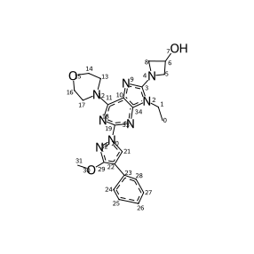 CCn1c(N2CC(O)C2)nc2c(N3CCOCC3)nc(-n3cc(-c4ccccc4)c(OC)n3)nc21